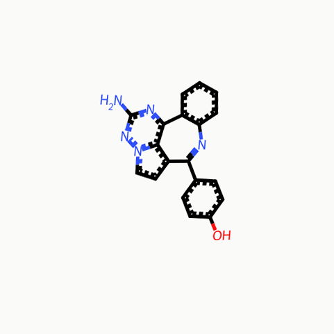 Nc1nc2c3c(ccn3n1)C(c1ccc(O)cc1)=Nc1ccccc1-2